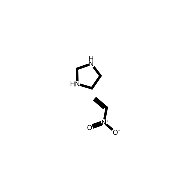 C1CNCN1.C=C[N+](=O)[O-]